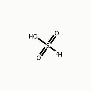 [2H]S(=O)(=O)O